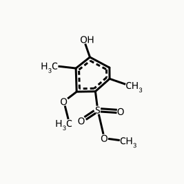 COc1c(C)c(O)cc(C)c1S(=O)(=O)OC